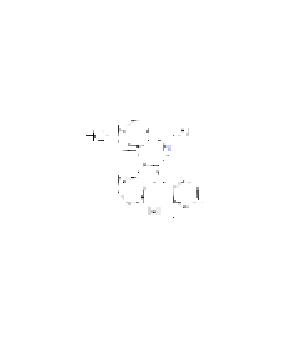 Cc1ccc(-c2c(/C=C(/C#N)c3ccncc3)n(CCCO)c3ncnc(N)c23)cc1